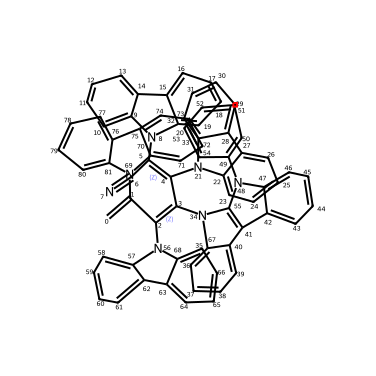 C=C(/C(=C(\C(=C(/C#N)n1c2ccccc2c2ccccc21)n1c2ccccc2c2ccccc21)n1c2ccccc2c2c3ccccc3n(-c3ccccc3)c21)n1c2ccccc2c2ccccc21)n1c2ccccc2c2ccccc21